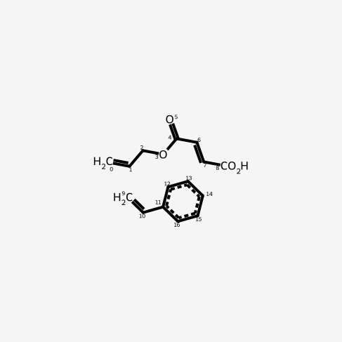 C=CCOC(=O)C=CC(=O)O.C=Cc1ccccc1